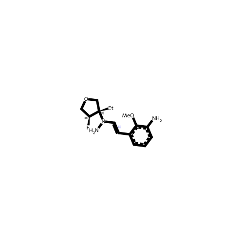 CC[C@]1(N(N)/C=C/c2cccc(N)c2OC)COC[C@@H]1F